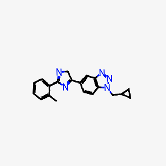 Cc1ccccc1C1=NCC(c2ccc3c(c2)nnn3CC2CC2)=N1